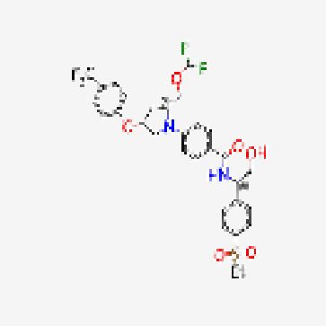 CCS(=O)(=O)c1ccc([C@H](CO)NC(=O)c2ccc(N3CC(Oc4ccc(C(F)(F)F)cc4)C[C@@H]3COC(F)F)cc2)cc1